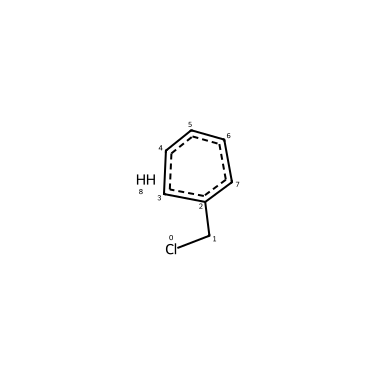 ClCc1ccccc1.[HH]